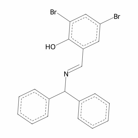 Oc1c(Br)cc(Br)cc1C=NC(c1ccccc1)c1ccccc1